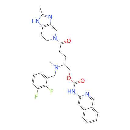 Cc1nc2c([nH]1)CCN(C(=O)CC[C@H](COC(=O)Nc1cc3ccccc3cn1)N(C)Cc1cccc(F)c1F)C2